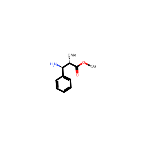 CO[C@H](C(=O)OC(C)(C)C)[C@H](N)c1ccccc1